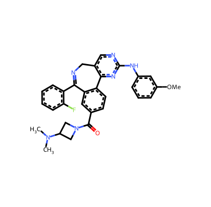 COc1cccc(Nc2ncc3c(n2)-c2ccc(C(=O)N4CC(N(C)C)C4)cc2C(c2ccccc2F)=NC3)c1